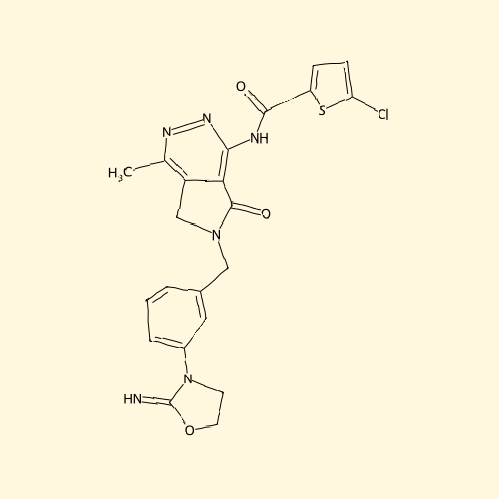 Cc1nnc(NC(=O)c2ccc(Cl)s2)c2c1CN(Cc1cccc(N3CCOC3=N)c1)C2=O